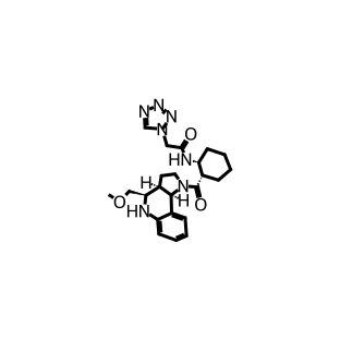 COC[C@@H]1Nc2ccccc2[C@H]2[C@@H]1CCN2C(=O)[C@H]1CCCC[C@H]1NC(=O)Cn1cnnn1